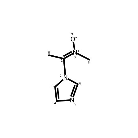 C/C(n1ccnc1)=[N+](/C)[O-]